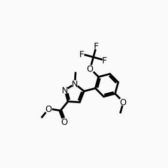 COC(=O)c1cc(-c2cc(OC)ccc2OC(F)(F)F)n(C)n1